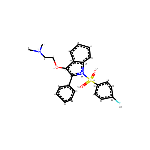 CN(C)CCOc1c(-c2ccccc2)n(S(=O)(=O)c2ccc(F)cc2)c2ccccc12